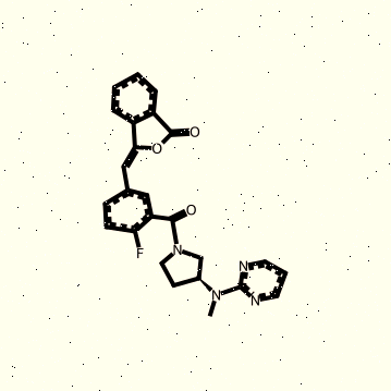 CN(c1ncccn1)[C@H]1CCN(C(=O)c2cc(/C=C3\OC(=O)c4ccccc43)ccc2F)C1